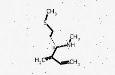 C=CC(=C)[C@H](CCSC)NC